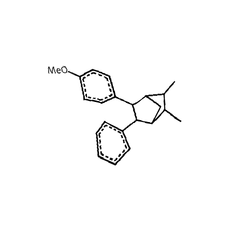 COc1ccc(C2C3CC(C(C)C3C)C2c2ccccc2)cc1